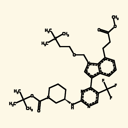 COC(=O)CCc1cccc2c(-c3nc(N[C@H]4CCCN(C(=O)OC(C)(C)C)C4)ncc3C(F)(F)F)cn(COCC[Si](C)(C)C)c12